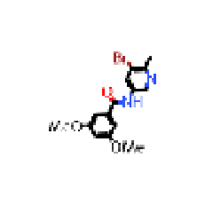 COc1cc(OC)cc(C(=O)Nc2cnc(C)c(Br)c2)c1